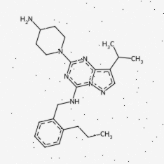 CCCc1ccccc1CNc1nc(N2CCC(N)CC2)nc2c(C(C)C)cnn12